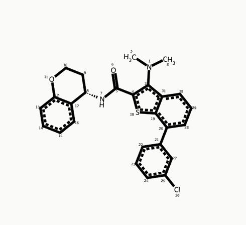 CN(C)c1c(C(=O)N[C@H]2CCOc3ccccc32)sc2c(-c3cccc(Cl)c3)cccc12